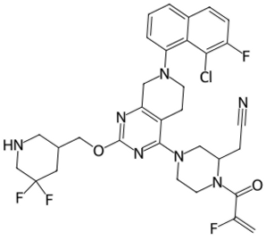 C=C(F)C(=O)N1CCN(c2nc(OCC3CNCC(F)(F)C3)nc3c2CCN(c2cccc4ccc(F)c(Cl)c24)C3)CC1CC#N